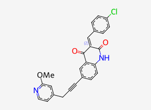 COc1cc(CC#Cc2ccc3c(c2)C(=O)/C(=C/c2ccc(Cl)cc2)C(=O)N3)ccn1